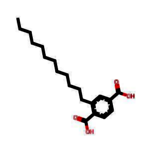 CCCCCCCCCCCCc1cc(C(=O)O)ccc1C(=O)O